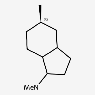 CNC1CCC2C[C@H](C)CCC21